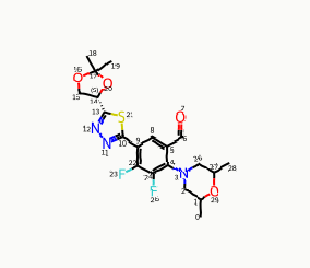 CC1CN(c2c(C=O)cc(-c3nnc([C@@H]4COC(C)(C)O4)s3)c(F)c2F)CC(C)O1